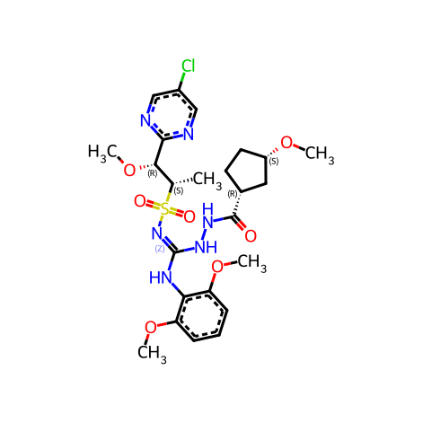 COc1cccc(OC)c1N/C(=N/S(=O)(=O)[C@@H](C)[C@H](OC)c1ncc(Cl)cn1)NNC(=O)[C@@H]1CC[C@H](OC)C1